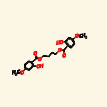 COc1ccc(C(=O)OCCCCOC(=O)c2ccc(OC)cc2O)c(O)c1